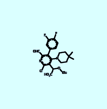 CC1(C)CCN(c2c(-c3ccc(F)c(F)c3)c(C=O)nc(Cl)c2C(OC(C)(C)C)C(=O)O)CC1